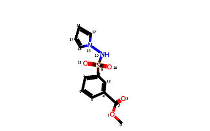 COC(=O)c1cccc(S(=O)(=O)Nn2cccc2)c1